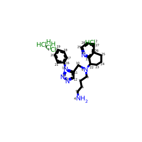 Cl.Cl.Cl.Cl.NCCCCN(Cc1cnnn1-c1ccccc1)C1CCCc2cccnc21